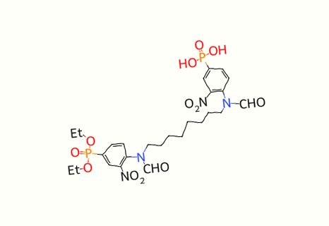 CCOP(=O)(OCC)c1ccc(N(C=O)CCCCCCCCN(C=O)c2ccc(P(=O)(O)O)cc2[N+](=O)[O-])c([N+](=O)[O-])c1